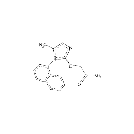 CC(=O)COc1ncc(C)n1-c1cccc2ccccc12